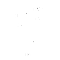 [C-]#[N+]c1c(Cl)nc(OC)c(C#N)c1-c1ccc(OCCO)cc1